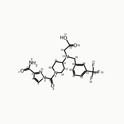 NC(=O)c1ccn(C(=O)N2CCC(N(CC(=O)O)Cc3cccc(C(F)(F)F)c3)CC2)n1